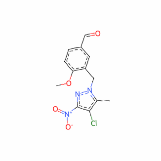 COc1ccc(C=O)cc1Cn1nc([N+](=O)[O-])c(Cl)c1C